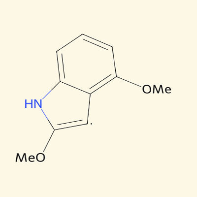 COc1[c]c2c(OC)cccc2[nH]1